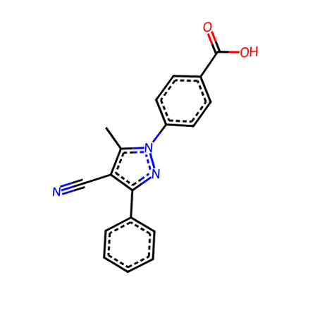 Cc1c(C#N)c(-c2ccccc2)nn1-c1ccc(C(=O)O)cc1